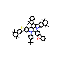 CC(C)(C)c1ccc(N2B3c4cc5oc6ccccc6c5cc4-n4c5cc6c(cc5c5c7c(c(c3c54)-c3cc4sc5cc8c(cc5c4cc32)C(C)(C)CCC8(C)C)C(C)(C)c2ccccc2-7)C(C)(C)CCC6(C)C)cc1